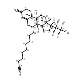 C[C@]12CCC(=O)C=C1C[C@@H](CCCCCCCCC#N)[C@@H]1[C@@H]2CC[C@@]2(C)[C@H]1CC[C@@]2(O)C(F)(F)C(F)(F)F